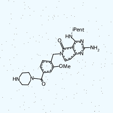 CCC[C@@H](C)Nc1nc(N)nc2ccn(Cc3ccc(C(=O)N4CCNCC4)cc3OC)c(=O)c12